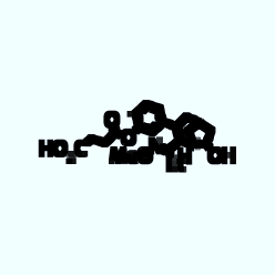 CCC(=NOC)C1=C(c2cc[c]c(OC(=O)CCC(=O)O)c2)CC2CC(O)[C@H]1C2